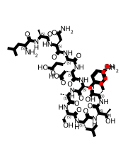 CC(C)C[C@H](NC(=O)[C@H](CO)NC(=O)[C@H](C)NC(=O)[C@H](Cc1ccc(O)cc1)NC(=O)[C@H](CC(=O)O)NC(=O)[C@H](CCC(=O)O)NC(=O)[C@H](CC(N)=O)NC(=O)[C@H](C)NC(=O)[C@@H](N)CC(C)C)C(=O)N[C@H](C(=O)N[C@@H](CCCCN)C(=O)O)[C@@H](C)O